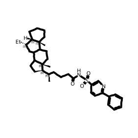 CC[C@H]1CC2C3CC[C@H]([C@H](C)CCCC(=O)NS(=O)(=O)c4ccc(-c5ccccc5)nc4)[C@@]3(C)CCC2[C@@]2(C)CCCC[C@@H]12